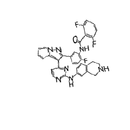 O=C(Nc1cc(-c2nn3ccccc3c2-c2ccnc(Nc3ccc4c(c3)CNCC4)n2)ccc1F)c1c(F)cccc1F